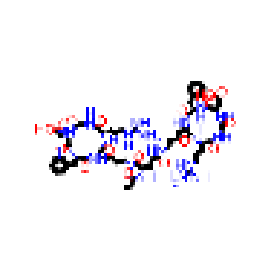 CCC(=O)N/C(=C/CC(=O)NCCC/C=C1/NC(=O)[C@@H](Cc2ccccc2)NC(=O)/C(=C\C(=O)O)NC(=O)CNC(=O)/C(=C/CCNC(=N)N)NC1=O)C(=O)NCCCC[C@@H]1NC(=O)/C(=C/c2ccccc2)NC(=O)[C@H](CC(=O)O)NC(=O)CNC(=O)[C@H](CCCNC(=N)N)NC1=O